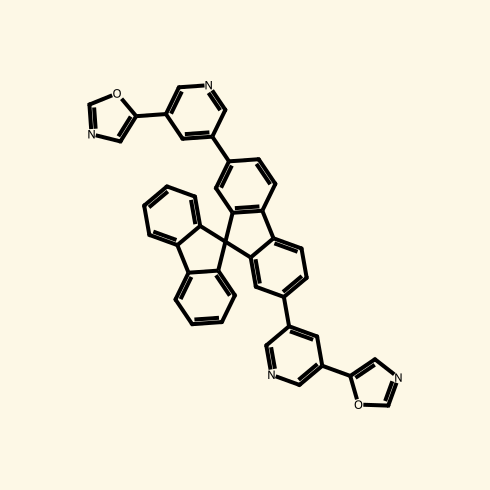 c1ccc2c(c1)-c1ccccc1C21c2cc(-c3cncc(-c4cnco4)c3)ccc2-c2ccc(-c3cncc(-c4cnco4)c3)cc21